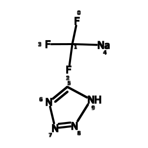 F[C](F)(F)[Na].c1nnn[nH]1